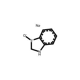 [Na].[O-][S+]1CNc2ccccc21